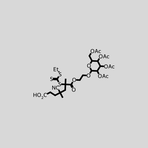 CCSC(=S)SC(C)(CC(C)(C#N)CCC(=O)O)C(=O)OCCOC1OC(COC(C)=O)C(OC(C)=O)C(OC(C)=O)C1OC(C)=O